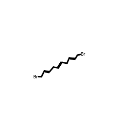 BrCC=CCC=CCC=CCBr